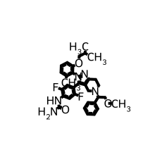 COCC(c1ccccc1)N1CCc2nn(-c3c(C)cccc3OCC(C)C)c(-c3cc(F)c(NC(N)=O)cc3F)c2C1